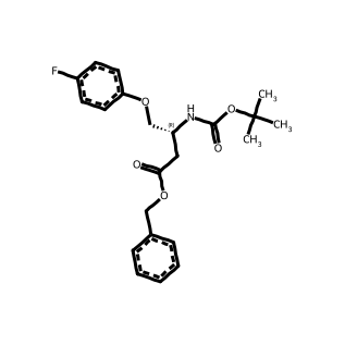 CC(C)(C)OC(=O)N[C@@H](COc1ccc(F)cc1)CC(=O)OCc1ccccc1